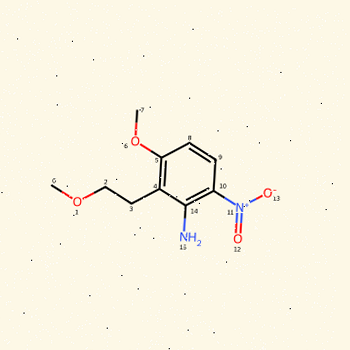 COCCc1c(OC)ccc([N+](=O)[O-])c1N